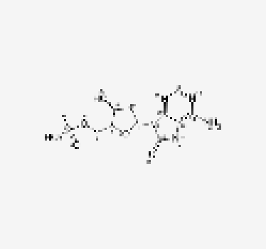 CP(=O)(O)OC[C@H]1O[C@@H](n2c(=O)[nH]c3c(N)ncnc32)C[C@@H]1O